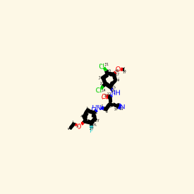 CCOc1ccc(NC=C(C#N)C(=O)Nc2cc(OC)c(Cl)cc2Cl)cc1F